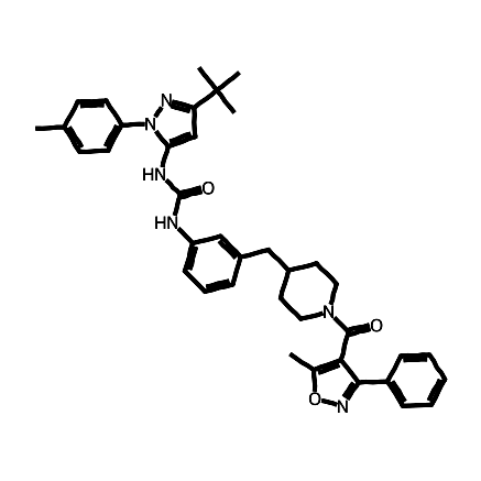 Cc1ccc(-n2nc(C(C)(C)C)cc2NC(=O)Nc2cccc(CC3CCN(C(=O)c4c(-c5ccccc5)noc4C)CC3)c2)cc1